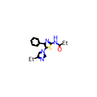 CCC(=O)Nc1nc(-c2ccccc2)c(-n2cnc(CC)c2)s1